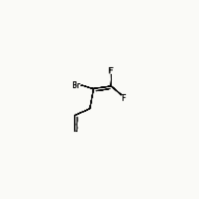 C=CCC(Br)=C(F)F